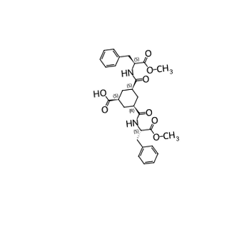 COC(=O)[C@H](Cc1ccccc1)NC(=O)[C@@H]1C[C@H](C(=O)O)C[C@H](C(=O)N[C@@H](Cc2ccccc2)C(=O)OC)C1